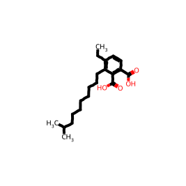 CCc1ccc(C(=O)O)c(C(=O)O)c1CCCCCCCCC(C)C